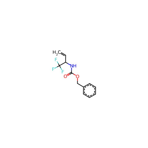 C=CC(NC(=O)OCc1ccccc1)C(F)(F)F